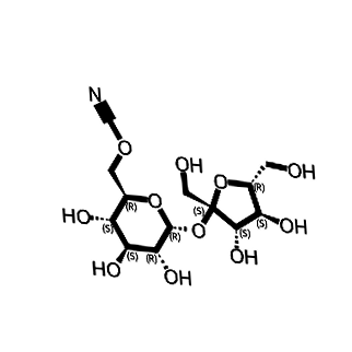 N#COC[C@H]1O[C@H](O[C@]2(CO)O[C@H](CO)[C@@H](O)[C@@H]2O)[C@H](O)[C@@H](O)[C@@H]1O